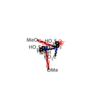 CC[N+]1=C(/C=C/C=C/C=C2/N(CCCCCC(=O)O)c3ccc4c(S(=O)(=O)[O-])cc(S(=O)(=O)O)cc4c3C2(C)CCOCCOCCOCCOCCOC)C(C)(CCOCCOCCOCCOCCOC)c2c1ccc1c(S(=O)(=O)O)cc(S(=O)(=O)O)cc21